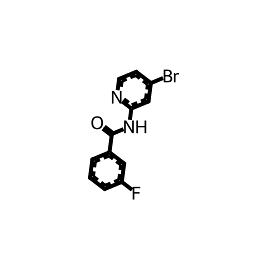 O=C(Nc1cc(Br)ccn1)c1cccc(F)c1